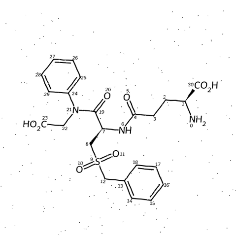 N[C@@H](CCC(=O)N[C@@H](CS(=O)(=O)Cc1ccccc1)C(=O)N(CC(=O)O)c1ccccc1)C(=O)O